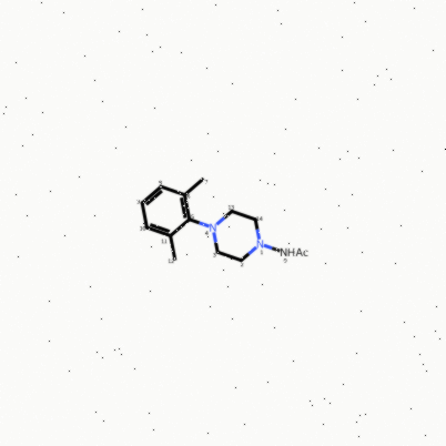 CC(=O)NN1CCN(c2c(C)cccc2C)CC1